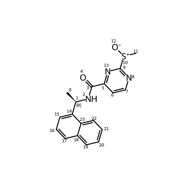 C[C@@H](NC(=O)c1ccnc([S+](C)[O-])n1)c1cccc2ccccc12